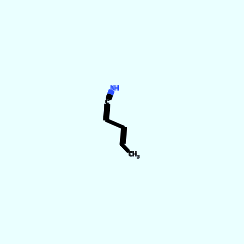 CC=CC=C=N